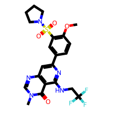 COc1ccc(-c2cc3ncn(C)c(=O)c3c(NCC(F)(F)F)n2)cc1S(=O)(=O)N1CCCC1